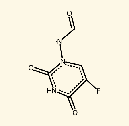 O=C[N]n1cc(F)c(=O)[nH]c1=O